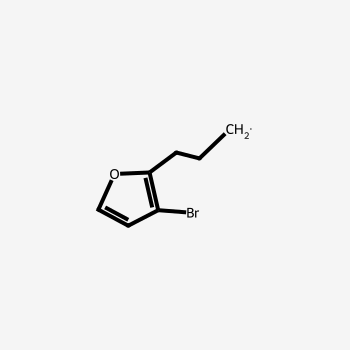 [CH2]CCc1occc1Br